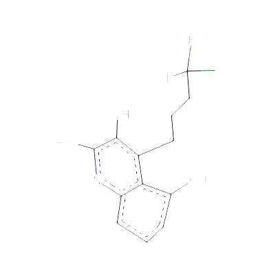 Cc1nc2cccc(O)c2c(CCCC(F)(F)F)c1C